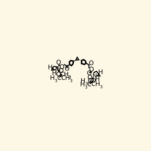 CC(C)(C)OC(=O)N1[C@@H]2C[C@@H]2C[C@H]1C(=O)OCC(=O)c1ccc([C@H]2C[C@@H]2c2ccc(C(=O)COC(=O)[C@@H]3C[C@H]4C[C@H]4N3C(=O)OC(C)(C)C)cc2)cc1